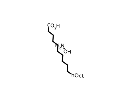 CCCCCCCCCCCCCCCCCC(=O)O.NO